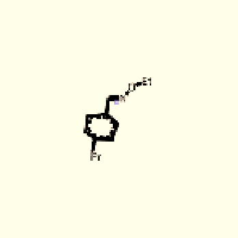 CCO/N=C/c1ccc(C(C)C)cc1